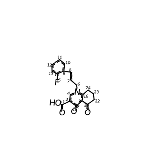 O=C(O)c1cn(CC=Cc2ccccc2F)c2c(c1=O)C(=O)CCC2